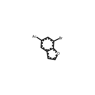 CC(=O)c1cc(Br)c2occc2c1